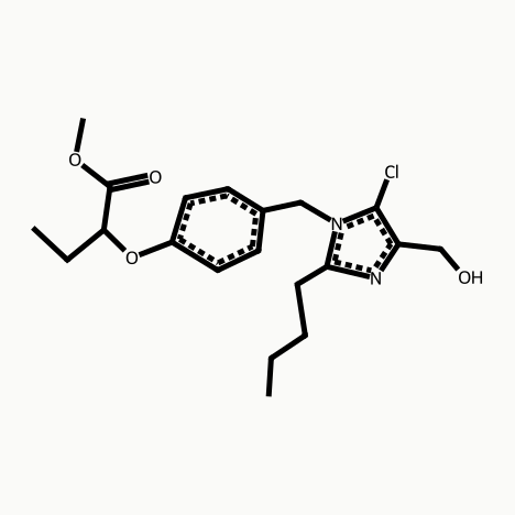 CCCCc1nc(CO)c(Cl)n1Cc1ccc(OC(CC)C(=O)OC)cc1